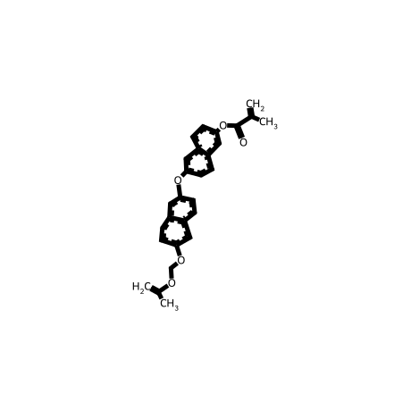 C=C(C)OCOc1ccc2cc(Oc3ccc4cc(OC(=O)C(=C)C)ccc4c3)ccc2c1